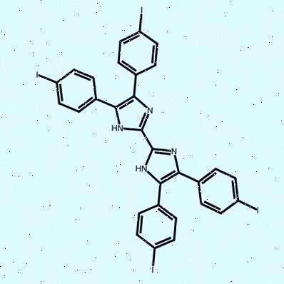 Ic1ccc(-c2nc(-c3nc(-c4ccc(I)cc4)c(-c4ccc(I)cc4)[nH]3)[nH]c2-c2ccc(I)cc2)cc1